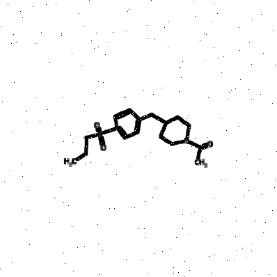 CCCS(=O)(=O)c1ccc(CC2CCN(C(C)=O)CC2)cc1